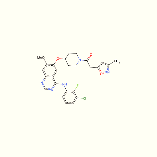 COc1cc2ncnc(Nc3cccc(Cl)c3F)c2cc1OC1CCN(C(=O)Cc2cc(C)no2)CC1